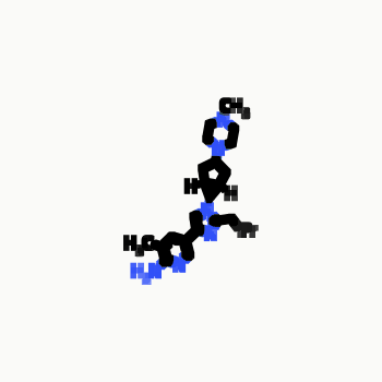 Cc1cc(-c2cn([C@H]3[C@@H]4CC(N5CCN(C)CC5)C[C@@H]43)c(CC(C)C)n2)cnc1N